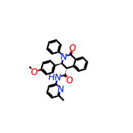 COc1ccc([C@@H]2[C@@H](C(=O)Nc3cccc(C)n3)c3ccccc3C(=O)N2c2ccccc2)cc1